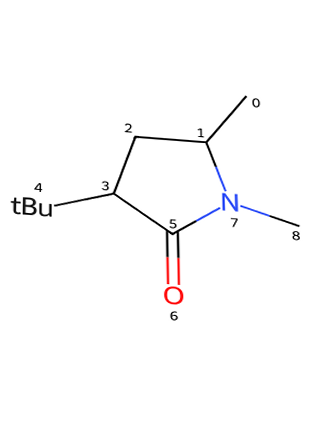 CC1CC(C(C)(C)C)C(=O)N1C